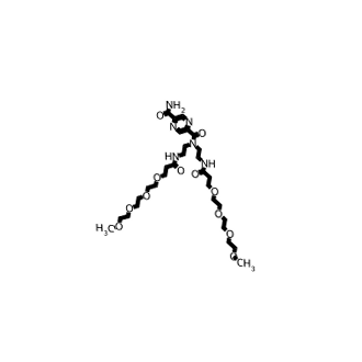 COCCOCCOCCOCCC(=O)NCCN(CCNC(=O)CCOCCOCCOCCOC)C(=O)c1cnc(C(N)=O)cn1